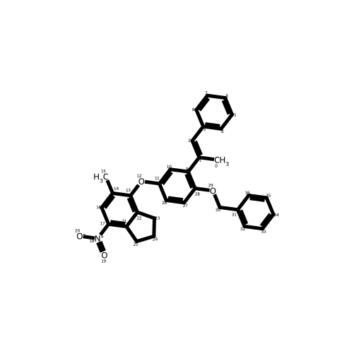 CC(=Cc1ccccc1)c1cc(Oc2c(C)cc([N+](=O)[O-])c3c2CCC3)ccc1OCc1ccccc1